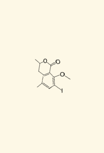 COc1c(I)cc(C)c2c1C(=O)OC(C)C2